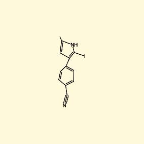 Cc1cc(-c2ccc(C#N)cc2)c(I)[nH]1